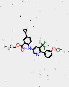 CCOC(=O)c1cc(C2CC2)ccc1Nc1cnc(-c2cccc(OC)c2)c(C(F)(F)F)c1